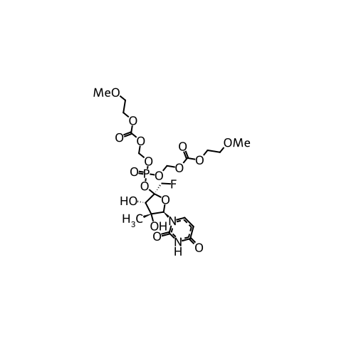 COCCOC(=O)OCOP(=O)(OCOC(=O)OCCOC)O[C@@]1(CF)O[C@@H](n2ccc(=O)[nH]c2=O)[C@](C)(O)[C@@H]1O